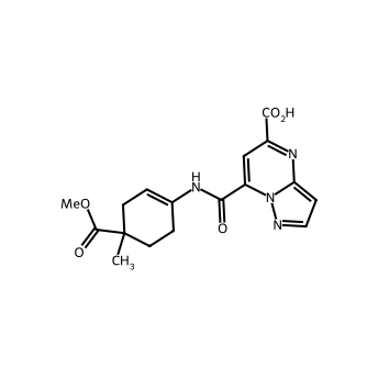 COC(=O)C1(C)CC=C(NC(=O)c2cc(C(=O)O)nc3ccnn23)CC1